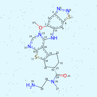 COc1cc2nnsc2cc1Nc1ncnc2sc3c(c12)CC[C@H](C(=O)N(C)CCN)C3